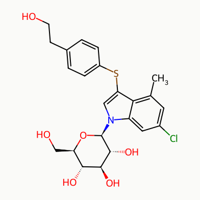 Cc1cc(Cl)cc2c1c(Sc1ccc(CCO)cc1)cn2[C@@H]1O[C@H](CO)[C@@H](O)[C@H](O)[C@H]1O